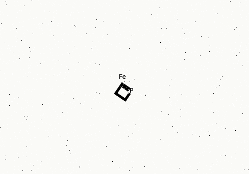 C1=PCC1.[Fe]